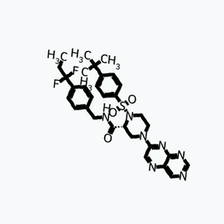 CCC(F)(F)c1ccc(CNC(=O)[C@H]2CN(c3cnc4cncnc4n3)CCN2S(=O)(=O)c2ccc(C(C)(C)C)cc2)cc1